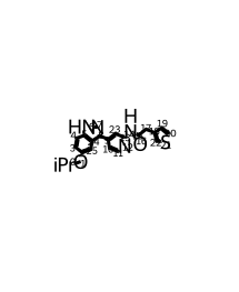 CC(C)Oc1ccc2[nH]nc(-c3ccnc(NC(=O)Cc4ccsc4)c3)c2c1